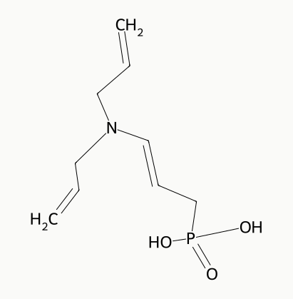 C=CCN(C=CCP(=O)(O)O)CC=C